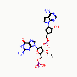 CO[C@H]1[C@@H](O[PH](=O)OC[C@@H]2C[C@@H](O)[C@H](n3ccc4c(N)ncnc43)C2)[C@H](n2cnc3c(=O)[nH]c(N)nc32)O[C@@H]1CO[PH](=O)O